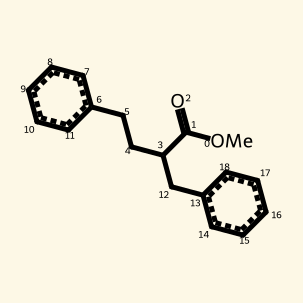 COC(=O)C(CCc1ccccc1)Cc1ccccc1